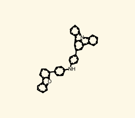 c1ccc2c(c1)oc1c(-c3ccc(Nc4ccc(-c5cc6c7ccccc7n7c8ccccc8c(c5)c67)cc4)cc3)cccc12